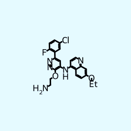 CCOc1ccc2c(Nc3cc(-c4cc(Cl)ccc4F)nnc3OCCN)ccnc2c1